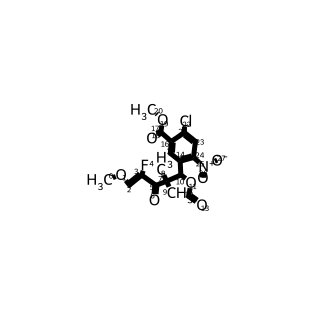 COC=C(F)C(=O)C(C)(C)C(OC=O)c1cc(C(=O)OC)c(Cl)cc1[N+](=O)[O-]